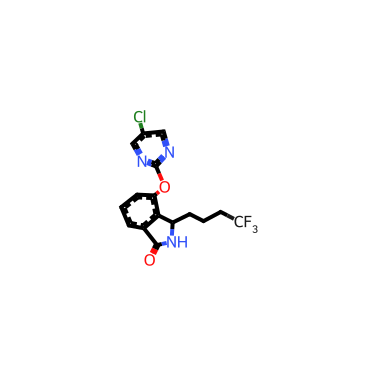 O=C1NC(CCCC(F)(F)F)c2c(Oc3ncc(Cl)cn3)cccc21